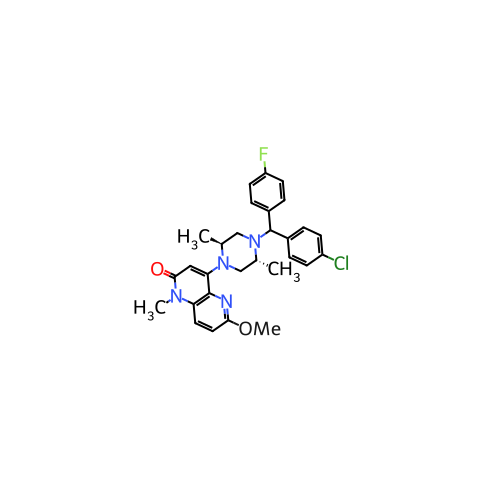 COc1ccc2c(n1)c(N1C[C@@H](C)N(C(c3ccc(F)cc3)c3ccc(Cl)cc3)C[C@@H]1C)cc(=O)n2C